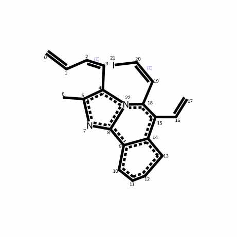 C=C/C=C\c1c(C)nc2c3ccccc3c(C=C)c(/C=C\I)n12